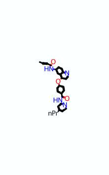 CC#CC(=O)Nc1ccc2nccc(Oc3ccc(C(=O)Nc4cc(CCC)ccn4)cc3)c2c1